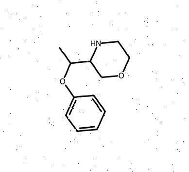 CC(Oc1ccccc1)C1COCCN1